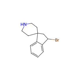 BrC1CC2(CCNCC2)c2ccccc21